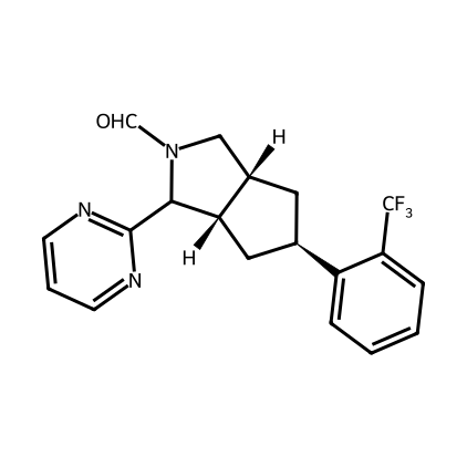 O=CN1C[C@@H]2C[C@@H](c3ccccc3C(F)(F)F)C[C@@H]2C1c1ncccn1